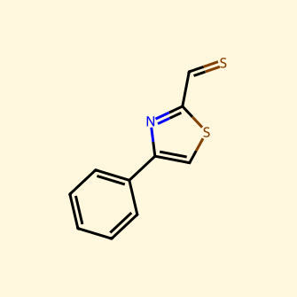 S=Cc1nc(-c2ccccc2)cs1